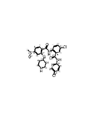 C[S+]([O-])c1ccc(C(=O)Nc2ccc(Cl)cc2C(=O)Nc2ccc(Cl)cn2)c(OC2CCNCC2)c1